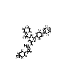 O=C(c1cc(CN[C@@H]2C[C@H]2c2ccc(F)cc2)nc(-c2ccc(N3CCOCC3)cc2)n1)N1CCOCC1